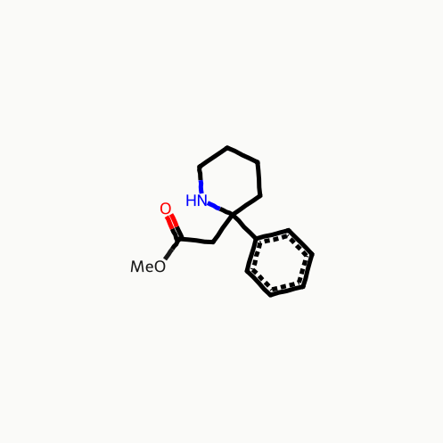 COC(=O)CC1(c2ccccc2)CCCCN1